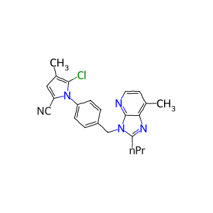 CCCc1nc2c(C)ccnc2n1Cc1ccc(-n2c(C#N)cc(C)c2Cl)cc1